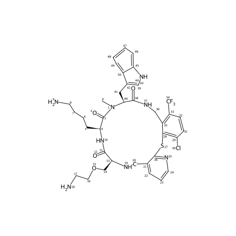 CN1C(=O)[C@H](CCCCN)NC(=O)[C@H](COCCN)NCc2cccnc2Sc2c(Cl)ccc(C(F)(F)F)c2CNC(=O)[C@@H]1Cc1c[nH]c2ccccc12